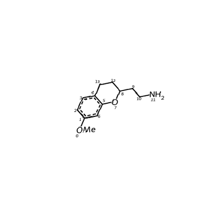 COc1ccc2c(c1)OC(CCN)CC2